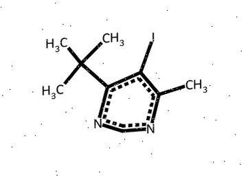 Cc1ncnc(C(C)(C)C)c1I